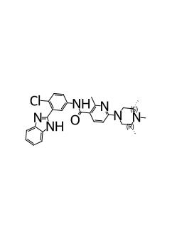 Cc1nc(N2C[C@@H](C)N(C)[C@@H](C)C2)ccc1C(=O)Nc1ccc(Cl)c(-c2nc3ccccc3[nH]2)c1